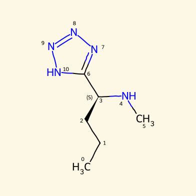 CCC[C@H](NC)c1nnn[nH]1